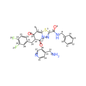 CC1=C2SC(C(=O)NCc3ccccc3)=NN2C(=O)C(Cc2ccc(F)c(F)c2)C1=O.NCc1ccncc1